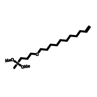 C=CCCCCCCCCCOCCC[Si](C)(OC)OC